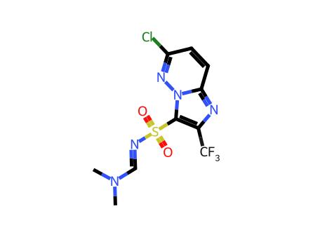 CN(C)/C=N/S(=O)(=O)c1c(C(F)(F)F)nc2ccc(Cl)nn12